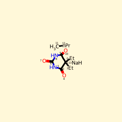 CCC1(CC)C(=O)NC(=O)NC1=O.CCCC.[NaH]